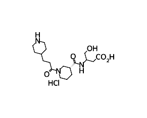 Cl.O=C(O)CC(CO)NC(=O)[C@@H]1CCCN(C(=O)CCC2CCNCC2)C1